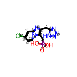 O=P(O)(O)Cc1c(Cc2nnn[nH]2)nc2cc(Cl)ccn12